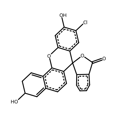 O=C1OC2(c3cc(Cl)c(O)cc3Oc3c2ccc2c3=CCC(O)C=2)c2ccccc21